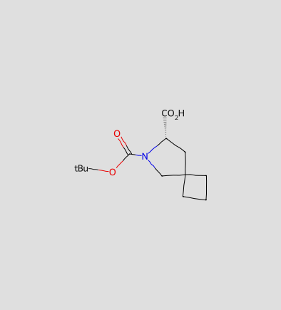 CC(C)(C)OC(=O)N1CC2(CCC2)C[C@H]1C(=O)O